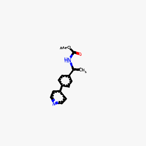 COC(=O)NC(C)c1ccc(-c2ccncc2)cc1